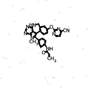 C=CC(=O)Nc1ccc(-c2c3c4c(ncnc4n2C)NCc2cc(Oc4nccc(C#N)n4)ccc2-3)cc1